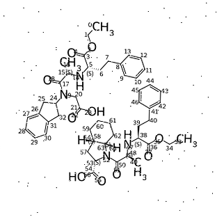 CCOC(=O)[C@H](CCc1ccccc1)N[C@@H](C)C(=O)N(CC(=O)O)C1Cc2ccccc2C1.CCOC(=O)[C@H](CCc1ccccc1)N[C@@H](C)C(=O)N1[C@H](C(=O)O)C[C@@H]2CCCC[C@@H]21